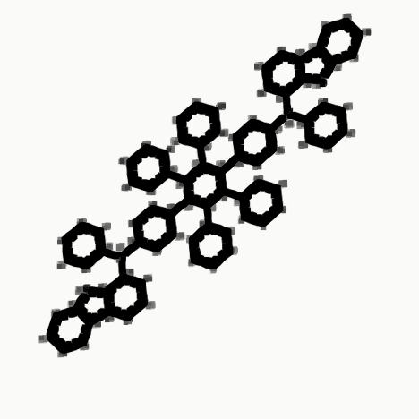 c1ccc(-c2c(-c3ccccc3)c(-c3ccc(N(c4ccccc4)c4cccc5c4sc4ccccc45)cc3)c(-c3ccccc3)c(-c3ccccc3)c2-c2ccc(N(c3ccccc3)c3cccc4c3sc3ccccc34)cc2)cc1